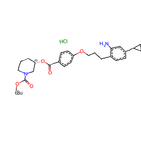 CC(C)(C)OC(=O)N1CCC[C@H](OC(=O)c2ccc(OCCCc3ccc(C4CC4)cc3N)cc2)C1.Cl